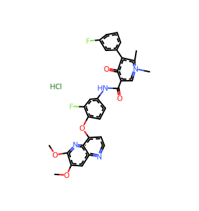 COc1cc2nccc(Oc3ccc(NC(=O)c4cn(C)c(C)c(-c5cccc(F)c5)c4=O)cc3F)c2nc1OC.Cl